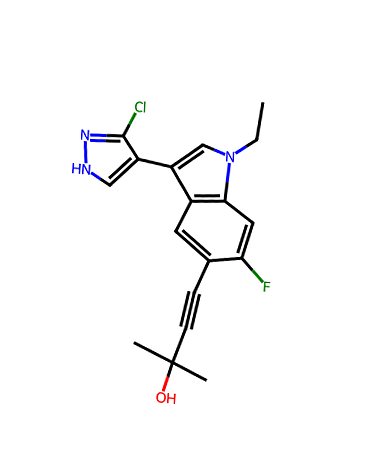 CCn1cc(-c2c[nH]nc2Cl)c2cc(C#CC(C)(C)O)c(F)cc21